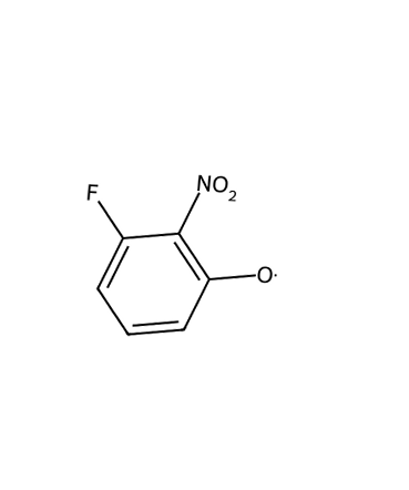 [O]c1cccc(F)c1[N+](=O)[O-]